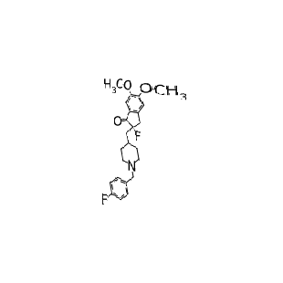 COc1cc2c(cc1OC)C(=O)C(F)(CC1CCN(Cc3ccc(F)cc3)CC1)C2